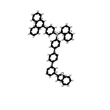 c1cc(-c2ccc(-c3ccc(N(c4ccc(-c5cc6ccccc6c6ccccc56)cc4)c4cccc5ccccc45)cc3)cc2)cc(-c2cc3ccccc3o2)c1